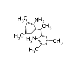 Cc1cc(C)c(N)c(C(C)c2cc(C)cc(C)c2N)c1